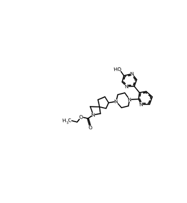 CCOC(=O)N1CC2(CCC(N3CCN(c4ncccc4-c4cnc(O)cn4)CC3)C2)C1